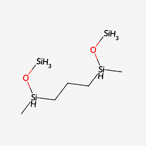 C[SiH](CCC[SiH](C)O[SiH3])O[SiH3]